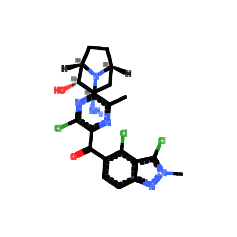 Cc1nc(C(=O)c2ccc3nn(C)c(Cl)c3c2Cl)c(Cl)nc1N1[C@@H]2CC[C@H]1[C@@H](O)[C@@H](N)C2